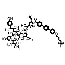 C#C[C@H](C[C@@H](O)[C@@H](O)NC(=O)[C@@H]1C[C@@H](C)CN1C(=O)C(NC(=O)C(NC(=O)[C@@H]1C[C@@H](O)CN1C(=O)C(N)[C@@H](C)O)[C@H](O)[C@@H](O)c1ccc(O)cc1)[C@@H](C)O)NC(=O)c1ccc(-c2ccc(-c3ccc(OCCCCC(F)(F)F)cc3)cc2)cc1